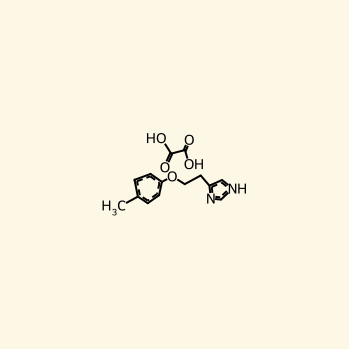 Cc1ccc(OCCc2c[nH]cn2)cc1.O=C(O)C(=O)O